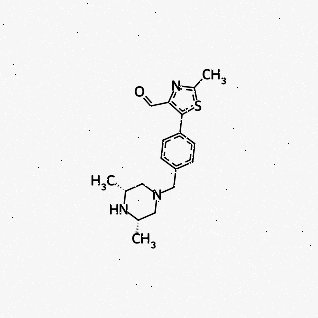 Cc1nc(C=O)c(-c2ccc(CN3C[C@@H](C)N[C@@H](C)C3)cc2)s1